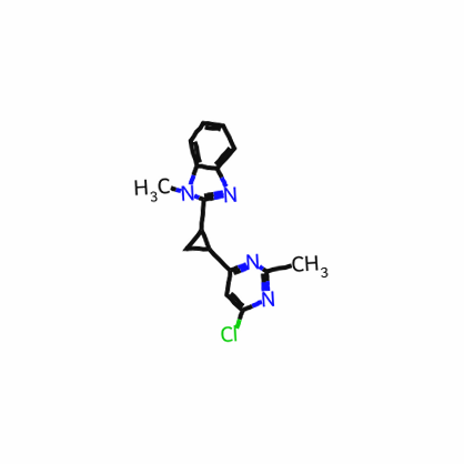 Cc1nc(Cl)cc(C2CC2c2nc3ccccc3n2C)n1